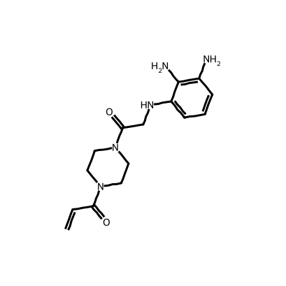 C=CC(=O)N1CCN(C(=O)CNc2cccc(N)c2N)CC1